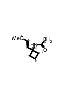 BC(=O)NC1(/C=C/OC)CCC1